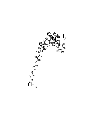 CCCCCCCCCCCCCCCCS(=O)(=O)c1ccc(-n2c(=O)cc(N)n2C(=O)Oc2ccccc2)cc1